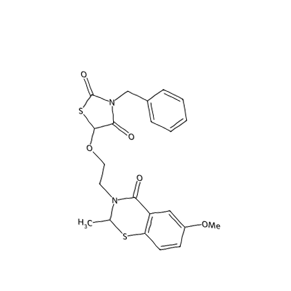 COc1ccc2c(c1)C(=O)N(CCOC1SC(=O)N(Cc3ccccc3)C1=O)C(C)S2